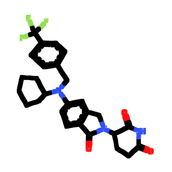 O=C1CCC(N2Cc3cc(N(Cc4ccc(C(F)(F)F)cc4)C4CCCCC4)ccc3C2=O)C(=O)N1